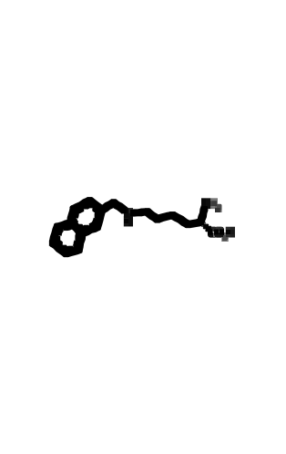 N[C@@H](CCCCNCc1ccc2ccccc2c1)C(=O)O